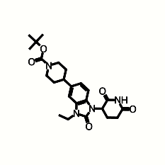 CCn1c(=O)n(C2CCC(=O)NC2=O)c2ccc(C3CCN(C(=O)OC(C)(C)C)CC3)cc21